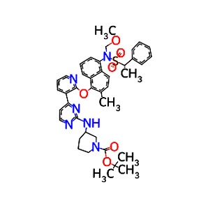 COCN(c1cccc2c(Oc3ncccc3-c3ccnc(NC4CCCN(C(=O)OC(C)(C)C)C4)n3)c(C)ccc12)S(=O)(=O)[C@@H](C)c1ccccc1